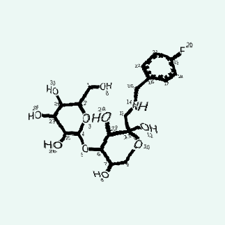 OCC1OC(OC2C(O)COC(O)(CNCc3ccc(F)cc3)C2O)C(O)C(O)C1O